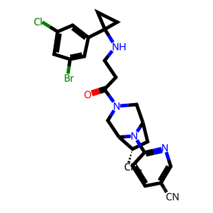 C[C@H]1CC2CN(C(=O)CCNC3(c4cc(Cl)cc(Br)c4)CC3)CC1N2c1ccc(C#N)cn1